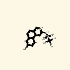 O=S(=O)(Oc1cc2c(ccc3cc(F)ccc32)cn1)C(F)(F)F